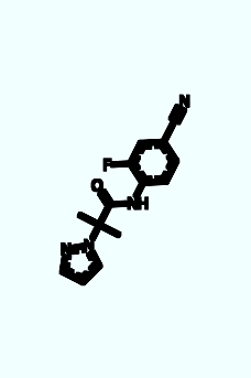 CC(C)(C(=O)Nc1ccc(C#N)cc1F)n1cccn1